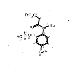 CCCCN(C(=O)CC(=O)OCC)c1cc[c]([Ge+3])cc1.[OH-].[OH-].[OH-]